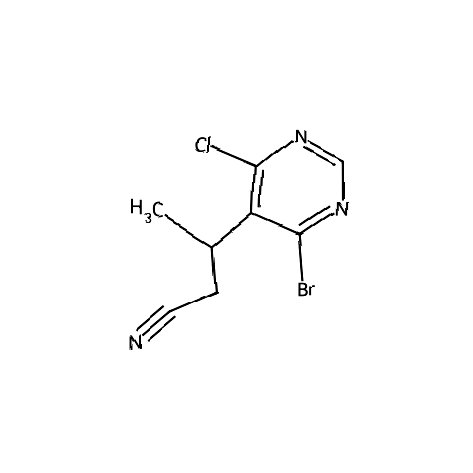 CC(CC#N)c1c(Cl)ncnc1Br